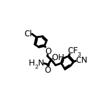 N#Cc1ccc(C[C@](O)(COc2ccc(Cl)cc2)C(N)=O)cc1C(F)(F)F